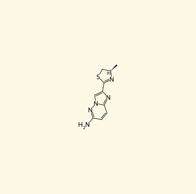 C[C@@H]1CSC(c2cn3nc(N)ccc3n2)=N1